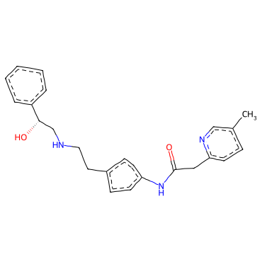 Cc1ccc(CC(=O)Nc2ccc(CCNC[C@H](O)c3ccccc3)cc2)nc1